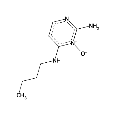 CCCCNc1ccnc(N)[n+]1[O-]